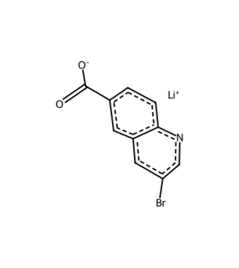 O=C([O-])c1ccc2ncc(Br)cc2c1.[Li+]